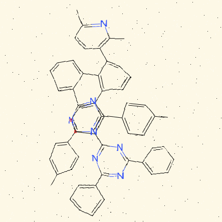 Cc1ccc(-c2nc(-c3ccc(C)cc3)nc(-c3ccccc3-c3c(-c4cccc(-c5nc(-c6ccccc6)nc(-c6ccccc6)n5)c4)cccc3-c3ccc(C)nc3C)n2)cc1